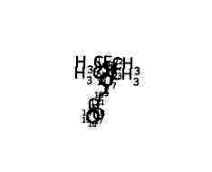 CC(C)[Si](F)(c1ccc(CCCOC2CCCCO2)cc1)C(C)C